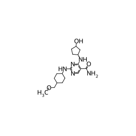 COCC1CCC(Nc2ncc(C(N)=O)c(N[C@H]3CCC(O)C3)n2)CC1